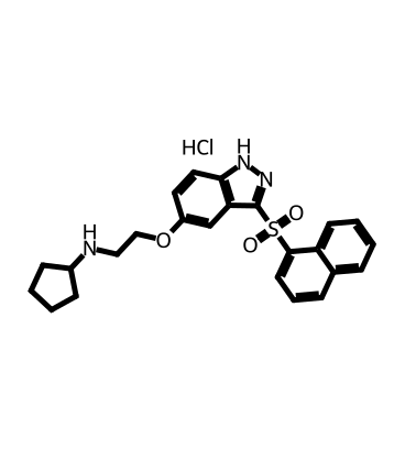 Cl.O=S(=O)(c1cccc2ccccc12)c1n[nH]c2ccc(OCCNC3CCCC3)cc12